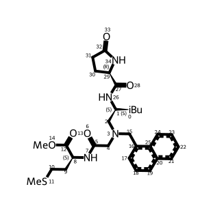 CC[C@H](C)[C@@H](CN(CC(=O)N[C@@H](CCSC)C(=O)OC)Cc1cccc2ccccc12)NC(=O)[C@H]1CCC(=O)N1